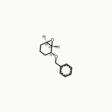 c1ccc(CO[C@H]2CCC[C@H]3O[C@H]23)cc1